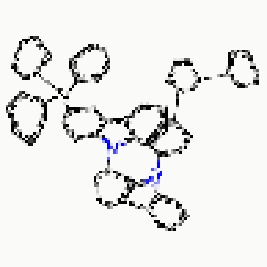 c1ccc(-c2cccc(-c3ccc(-n4c5ccccc5c5cccc(-n6c7ccccc7c7cc([Si](c8ccccc8)(c8ccccc8)c8ccccc8)ccc76)c54)cc3)c2)cc1